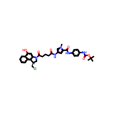 Cn1cc(NC(=O)CCCC(=O)N2C[C@@H](CCl)c3c2cc(O)c2ccccc32)cc1C(=O)Nc1ccc(NC(=O)OC(C)(C)C)cc1